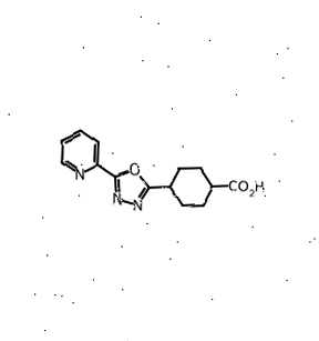 O=C(O)C1CCC(c2nnc(-c3ccccn3)o2)CC1